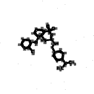 CN(C)c1ccc(CNC2=NS(=O)(=O)c3cccc(Oc4ccccc4Cl)c3N2)cc1